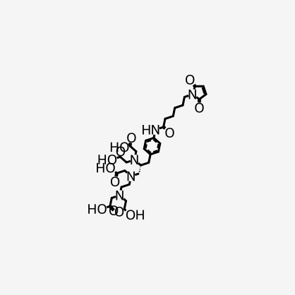 O=C(O)CN(CCN(CC(=O)O)C[C@@H](Cc1ccc(NC(=O)CCCCCN2C(=O)C=CC2=O)cc1)N(CC(=O)O)CC(=O)O)CC(=O)O